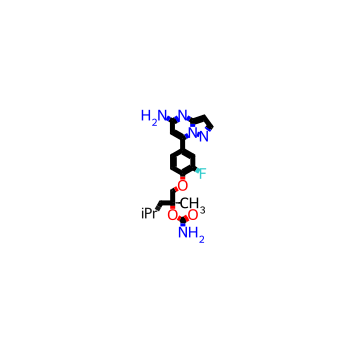 CC(C)C[C@@](C)(COc1ccc(-c2cc(N)nc3ccnn23)cc1F)OC(N)=O